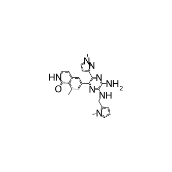 Cc1cc(-c2nc(NCc3cccn3C)c(N)nc2-c2ccn(C)n2)cc2cc[nH]c(=O)c12